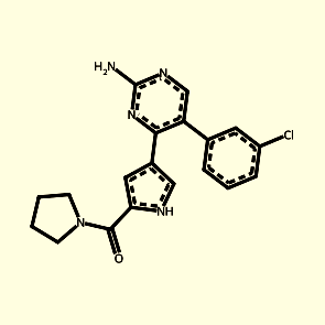 Nc1ncc(-c2cccc(Cl)c2)c(-c2c[nH]c(C(=O)N3CCCC3)c2)n1